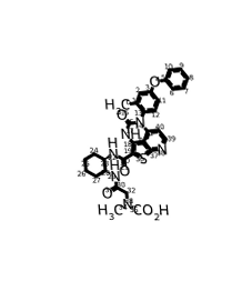 Cc1cc(Oc2ccccc2)ccc1N1C(=O)Nc2c(C(=O)N[C@@H]3CCCC[C@H]3NC(=O)CN(C)C(=O)O)sc3nccc1c23